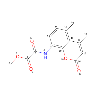 COC(=O)C(=O)Nc1ccc(C)c2c(C)cc(=O)oc12